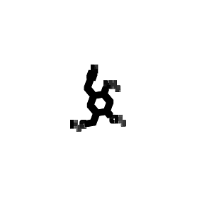 CCC1CC(CC#N)C(N)CC1C